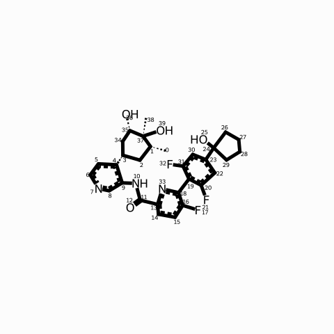 C[C@@H]1C[C@H](c2ccncc2NC(=O)c2ccc(F)c(-c3c(F)cc(C4(O)CCCC4)cc3F)n2)C[C@H](O)[C@@]1(C)O